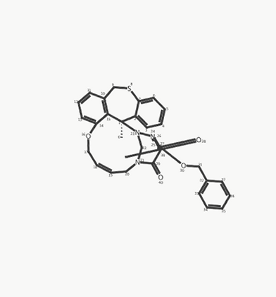 C[C@@]12c3ccccc3SCc3cccc(c31)OC/C=C\CN1CN2n2ccc(=O)c(OCc3ccccc3)c2C1=O